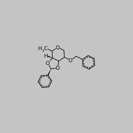 CC1OCC(OCc2ccccc2)C2O[C@@H](c3ccccc3)O[C@H]12